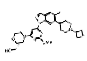 COc1nc(N2CCO[C@@H](CO)C2)cc(-n2ncc3cc(C)c(C4CCN(C5COC5)CC4)cc32)n1